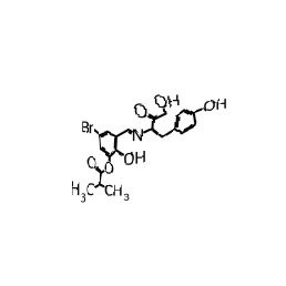 CC(C)C(=O)Oc1cc(Br)cc(C=NC(Cc2ccc(O)cc2)C(=O)CO)c1O